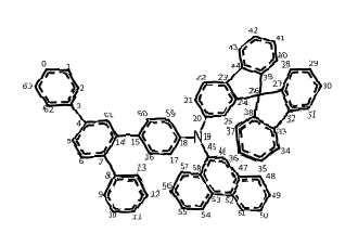 c1ccc(-c2ccc(-c3ccccc3)c(-c3ccc(N(c4ccc5c(c4)C4(c6ccccc6-c6ccccc64)c4ccccc4-5)c4cc5ccccc5c5ccccc45)cc3)c2)cc1